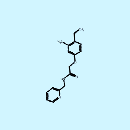 CCc1ccc(OCC(=O)NCc2ccccn2)cc1C